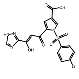 O=C(O)c1cc(C(=O)C=C(O)c2nc[nH]n2)n(S(=O)(=O)c2ccc(Cl)cc2)c1